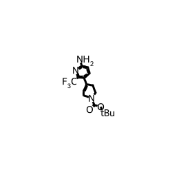 CC(C)(C)OC(=O)N1CC=C(c2ccc(N)nc2C(F)(F)F)CC1